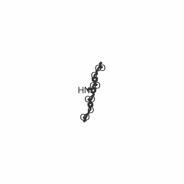 C=CC(=O)OCCCOc1ccc(C(=O)OCCc2ccc(OC(=O)c3ccc(OCCCOC(=O)C=C)cc3)c(C=N)c2)cc1